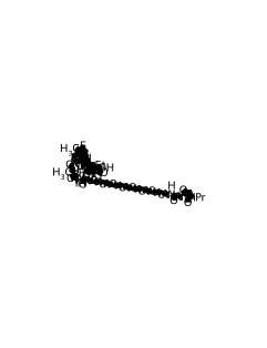 CC[C@@]1(O)C(=O)OCc2c1cc1n(c2=O)Cc2c-1nc1cc(F)c(C)c3c1c2[C@@H](NC(=O)[C@H](C)NC(=O)[C@@H](NC(=O)CCOCCOCCOCCOCCOCCOCCOCCOCCNC(=O)CCN1C(=O)CC(C(C)C)C1=O)C(C)C)CC3